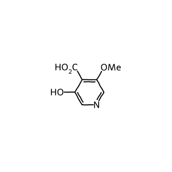 COc1cncc(O)c1C(=O)O